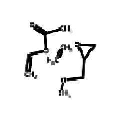 C=C.C=COC(C)=O.COCC1CO1